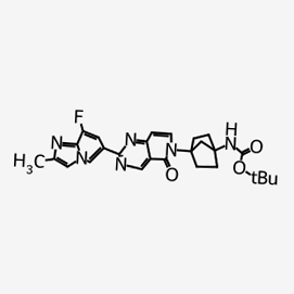 Cc1cn2cc(-c3ncc4c(=O)n(C56CCC(NC(=O)OC(C)(C)C)(CC5)C6)ccc4n3)cc(F)c2n1